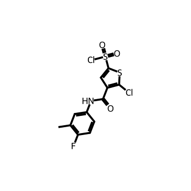 Cc1cc(NC(=O)c2cc(S(=O)(=O)Cl)sc2Cl)ccc1F